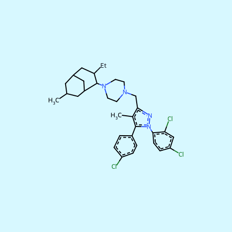 CCC1CC2CC(C)CC(C2)C1N1CCN(Cc2nn(-c3ccc(Cl)cc3Cl)c(-c3ccc(Cl)cc3)c2C)CC1